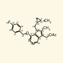 CC(=O)OCc1c(C)n(C[C@H]2C[C@@H]2C)c2c(OCc3ccc(F)cc3)nncc12